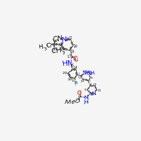 COC(=O)Nc1cc(/C(C=N)=C/C(=N)c2cc(NC(=O)c3ccnc(C(C)(C)C#N)c3)ccc2F)ccn1